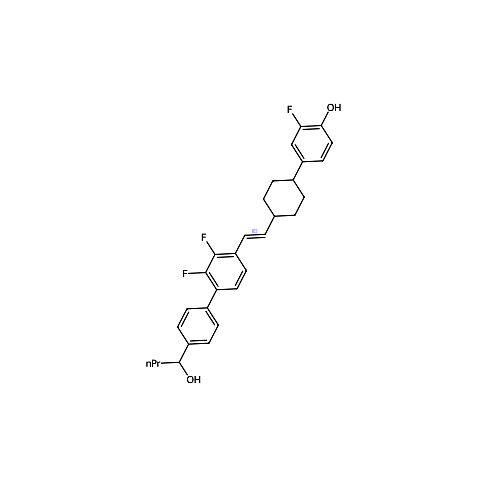 CCCC(O)c1ccc(-c2ccc(/C=C/C3CCC(c4ccc(O)c(F)c4)CC3)c(F)c2F)cc1